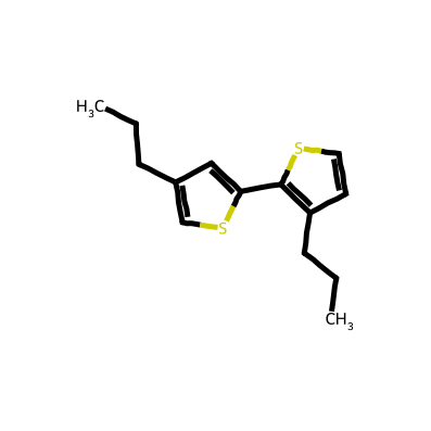 CCCc1csc(-c2sccc2CCC)c1